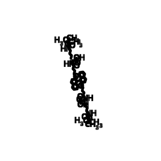 CC(C)(C)OC(=O)NCCCC[C@@H](NC(=O)CCCOc1ccc2ccccc2c1-c1c(OCCCC(=O)N[C@H](CCCCNC(=O)OC(C)(C)C)C(=O)O)ccc2ccccc12)C(=O)O